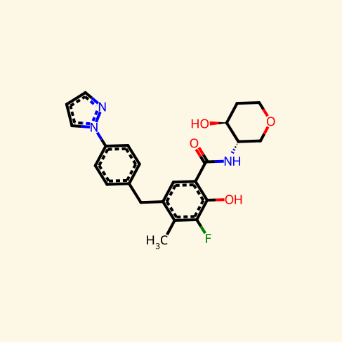 Cc1c(Cc2ccc(-n3cccn3)cc2)cc(C(=O)N[C@H]2COCC[C@@H]2O)c(O)c1F